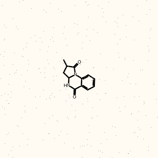 CC1CC2NC(=O)c3ccccc3N2C1=O